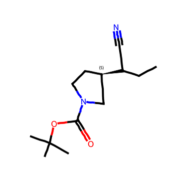 CCC(C#N)[C@@H]1CCN(C(=O)OC(C)(C)C)C1